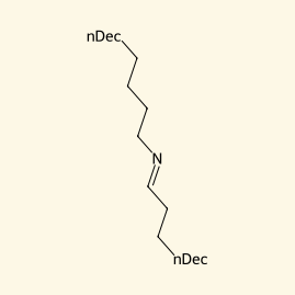 CCCCCCCCCCCCC=NCCCCCCCCCCCCCC